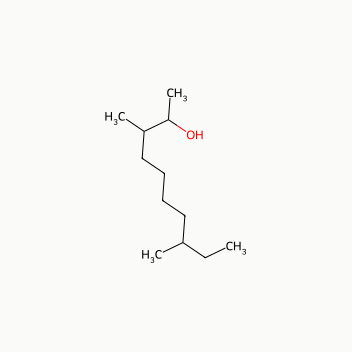 CCC(C)CCCCC(C)C(C)O